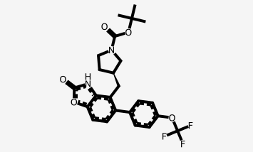 CC(C)(C)OC(=O)N1CC[C@H](Cc2c(-c3ccc(OC(F)(F)F)cc3)ccc3oc(=O)[nH]c23)C1